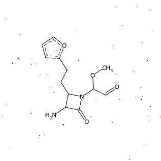 COC(C=O)N1C(=O)C(N)C1CCc1ccco1